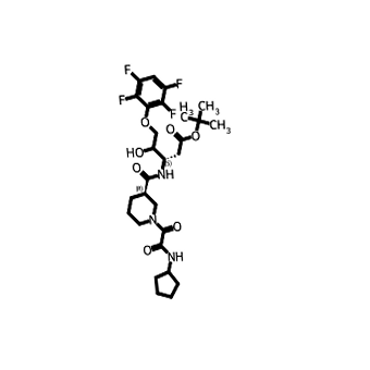 CC(C)(C)OC(=O)C[C@H](NC(=O)[C@@H]1CCCN(C(=O)C(=O)NC2CCCC2)C1)C(O)COc1c(F)c(F)cc(F)c1F